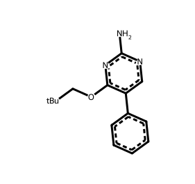 CC(C)(C)COc1nc(N)ncc1-c1ccccc1